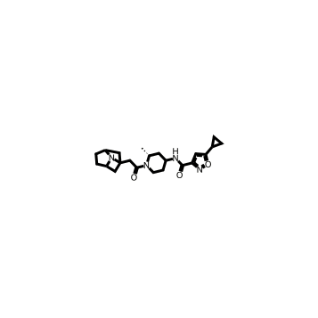 C[C@@H]1CC(NC(=O)c2cc(C3CC3)on2)CCN1C(=O)CC12CC3CCC(C1)N32